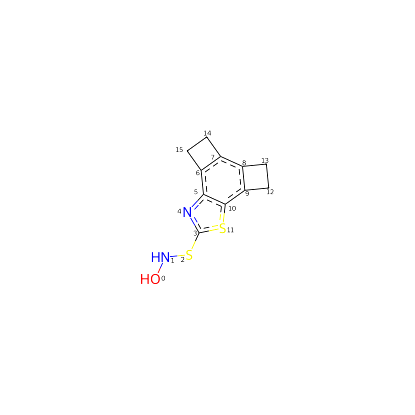 ONSc1nc2c3c(c4c(c2s1)CC4)CC3